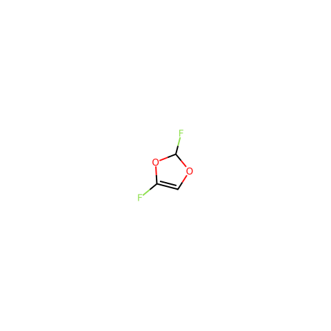 FC1=COC(F)O1